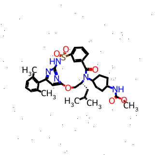 COC(=O)NC1CCC(N2C(=O)c3cccc(c3)S(=O)(=O)Nc3nc(cc(-c4c(C)cccc4C)n3)OC[C@H]2CC(C)C)CC1